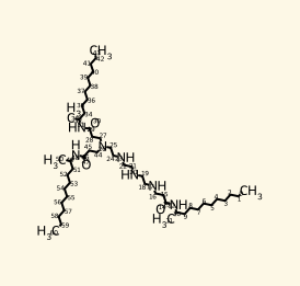 CCCCCCCCCCC(C)NC(=O)CCNCCNCCNCCN(CCC(=O)NC(C)CCCCCCCCCC)CCC(=O)NC(C)CCCCCCCCCC